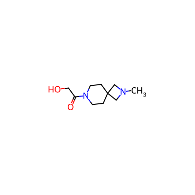 CN1CC2(CCN(C(=O)CO)CC2)C1